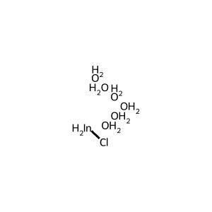 O.O.O.O.O.O.[Cl][InH2]